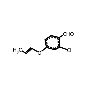 CC=COc1ccc(C=O)c(Cl)c1